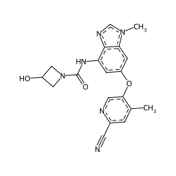 Cc1cc(C#N)ncc1Oc1cc(NC(=O)N2CC(O)C2)c2ncn(C)c2c1